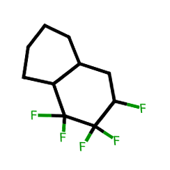 FC1CC2CCCCC2C(F)(F)C1(F)F